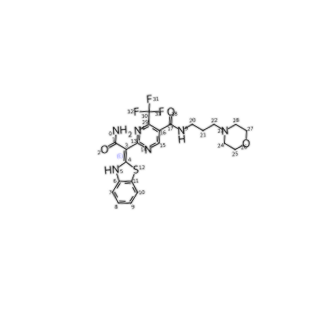 NC(=O)/C(=C1\Nc2ccccc2S1)c1ncc(C(=O)NCCCN2CCOCC2)c(C(F)(F)F)n1